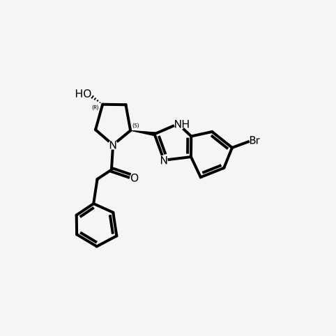 O=C(Cc1ccccc1)N1C[C@H](O)C[C@H]1c1nc2ccc(Br)cc2[nH]1